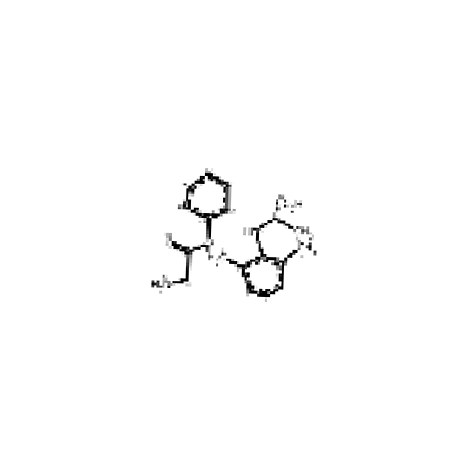 Cc1cccc(C)c1N[C@@H](C)C(=O)O.NCC(=O)Oc1ccccc1